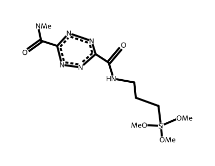 CNC(=O)c1nnc(C(=O)NCCC[Si](OC)(OC)OC)nn1